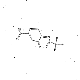 NC(=O)c1ccc2nc(C(F)(F)F)ccc2c1